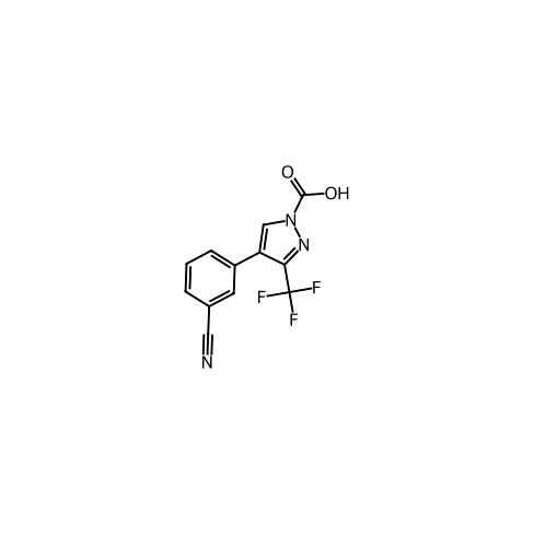 N#Cc1cccc(-c2cn(C(=O)O)nc2C(F)(F)F)c1